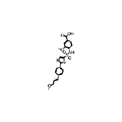 COC/C=C/c1ccc(-c2ncc(S(=O)(=O)Nc3ccc(C(=O)O)cc3OC)s2)cc1